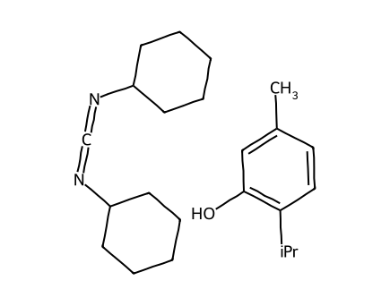 C(=NC1CCCCC1)=NC1CCCCC1.Cc1ccc(C(C)C)c(O)c1